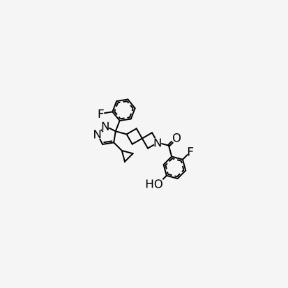 O=C(c1cc(O)ccc1F)N1CC2(CC(C3(c4ccccc4F)N=NC=C3C3CC3)C2)C1